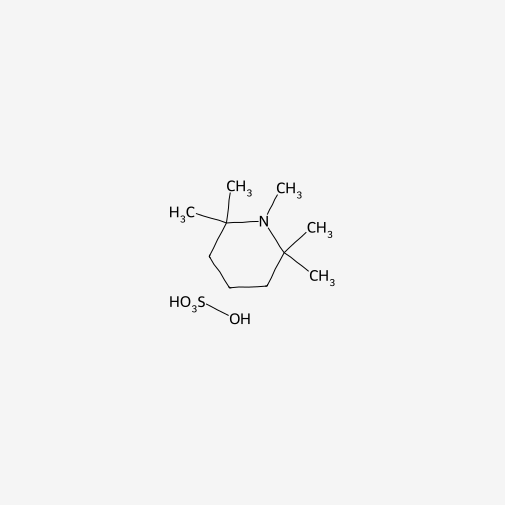 CN1C(C)(C)CCCC1(C)C.O=S(=O)(O)O